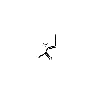 O=C([O-])/C=C/Br.[Ag+]